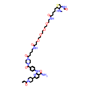 C=CC(=O)N1CCC(c2ccc(C(N)=O)c(Nc3ccc(C(=O)N4CCN(C(=O)CCCCNC(=O)CCOCCOCCOCCOCCNC(=O)CCCCC5SCC(NC=O)C5NC)CC4)cc3)n2)CC1